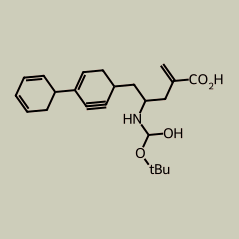 C=C(CC(CC1C#CC(C2C=CC=CC2)=CC1)NC(O)OC(C)(C)C)C(=O)O